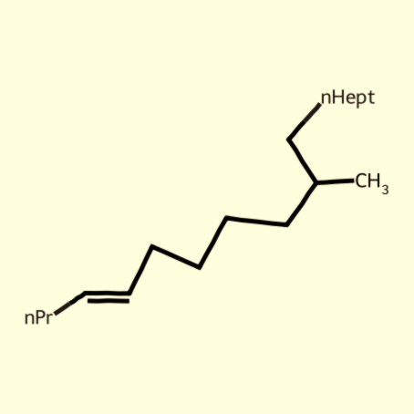 [CH2]CC/C=C/CCCCC(C)CCCCCCC[CH2]